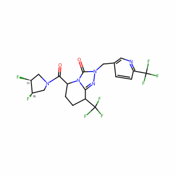 O=C(C1CCC(C(F)(F)F)c2nn(Cc3ccc(C(F)(F)F)nc3)c(=O)n21)N1C[C@@H](F)[C@@H](F)C1